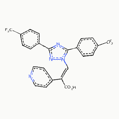 O=C(O)/C(=C/n1nc(-c2ccc(C(F)(F)F)cc2)nc1-c1ccc(C(F)(F)F)cc1)c1ccncc1